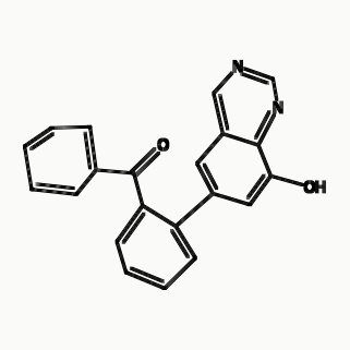 O=C(c1ccccc1)c1ccccc1-c1cc(O)c2ncncc2c1